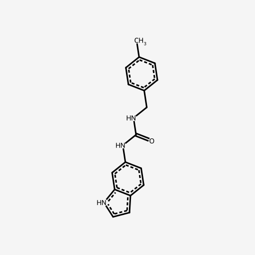 Cc1ccc(CNC(=O)Nc2ccc3cc[nH]c3c2)cc1